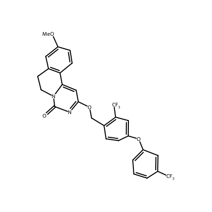 COc1ccc2c(c1)CCn1c-2cc(OCc2ccc(Oc3cccc(C(F)(F)F)c3)cc2C(F)(F)F)nc1=O